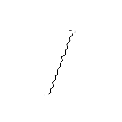 ClCCCCCCCCCCCCCCCCCCC[SiH](Cl)Cl